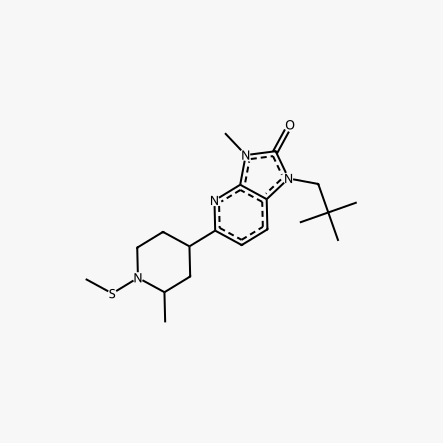 CSN1CCC(c2ccc3c(n2)n(C)c(=O)n3CC(C)(C)C)CC1C